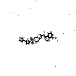 CC(CN1CCN(S(=O)(=O)c2ccc(-c3ccno3)s2)CC1)Nc1ncnc2c(C(F)(F)F)cccc12